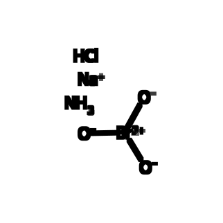 Cl.N.[Na+].[O-][Br+2]([O-])[O-]